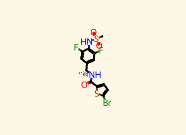 C[C@@H](NC(=O)c1ccc(Br)s1)c1cc(F)c(NS(C)(=O)=O)c(F)c1